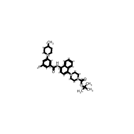 CC1CCN(c2cc(F)cc(C(=O)Nc3ccc(N4CCN(C(=O)OC(C)(C)C)CC4)c4ccccc34)c2)CC1